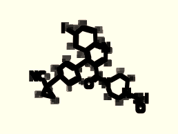 N#CC1(c2ccc(-c3c(C(=O)N4CCN([SH]=O)CC4)cnc4ccc(F)cc34)cc2)CC1